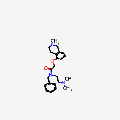 CN(C)CCN(Cc1ccccc1)C(=O)COc1cccc2c1CCN(C)C2